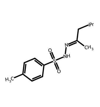 C/C(CC(C)C)=N\NS(=O)(=O)c1ccc(C)cc1